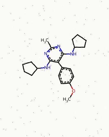 COc1ccc(-c2c(NC3CCCC3)nc(C)nc2NC2CCCC2)cc1